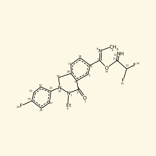 CCN1C(=O)c2cc(/C(=N/C)OC(=N)C(F)F)ccc2CN1c1ccc(F)cc1